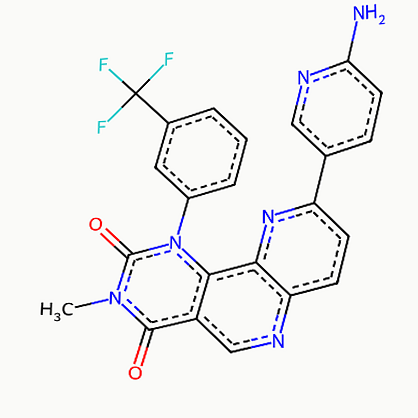 Cn1c(=O)c2cnc3ccc(-c4ccc(N)nc4)nc3c2n(-c2cccc(C(F)(F)F)c2)c1=O